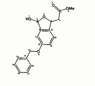 COC(=O)CC1OB(O)c2cc(OCc3ccccc3)ccc21